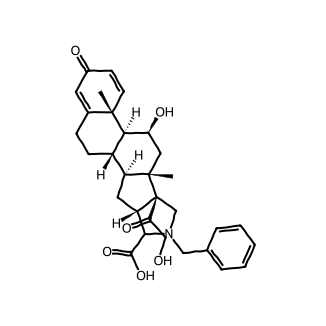 C[C@]12C=CC(=O)C=C1CC[C@@H]1[C@@H]2[C@@H](O)C[C@@]2(C)[C@H]1C[C@H]1C(C(=O)O)N(Cc3ccccc3)C[C@]12C(=O)CO